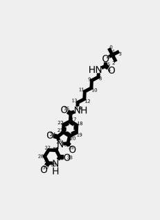 CC(C)(C)OC(=O)NCCCCCCNC(=O)c1ccc2c(c1)C(=O)N([C@@H]1CCC(=O)NC1=O)C2=O